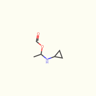 CC(NC1CC1)OC=O